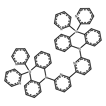 c1ccc([Si]2(c3ccccn3)c3ccccc3N(c3cccc(-c4cccc(N5c6ccccc6[Si](c6ccccn6)(c6ccccn6)c6ccccc65)n4)n3)c3ccccc32)nc1